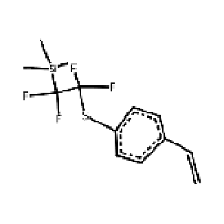 C=Cc1ccc(SC(F)(F)C(F)(F)[Si](C)(C)C)cc1